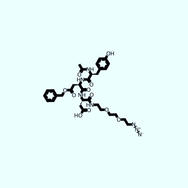 CC(=O)N[C@@H](Cc1ccc(O)cc1)C(=O)N[C@H](CC(=O)OCc1ccccc1)C(=O)N[C@@H](CC(=O)O)C(=O)NCCOCCOCCN=[N+]=[N-]